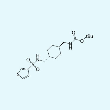 CC(C)(C)OC(=O)NC[C@H]1CC[C@H](CNS(=O)(=O)c2ccsc2)CC1